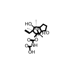 C=C[C@]1(C)C[C@@H](OC(=O)NC(=O)O)[C@]2(C)C(C)CC[C@]3(CCC(=O)[C@H]32)[C@@H](C)[C@@H]1O